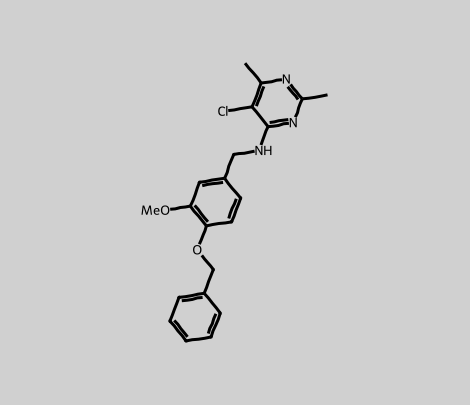 COc1cc(CNc2nc(C)nc(C)c2Cl)ccc1OCc1ccccc1